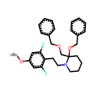 CCCCOc1cc(F)c(CCN2CCCCC2(COCc2ccccc2)OCc2ccccc2)c(F)c1